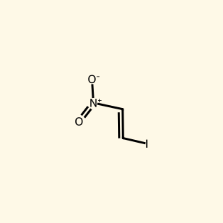 O=[N+]([O-])/C=C/I